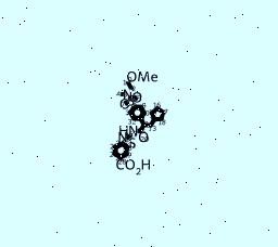 COCCN(C)S(=O)(=O)c1ccc(C(CC2CCCC2)C(=O)Nc2nc3ccc(C(=O)O)cc3s2)cc1